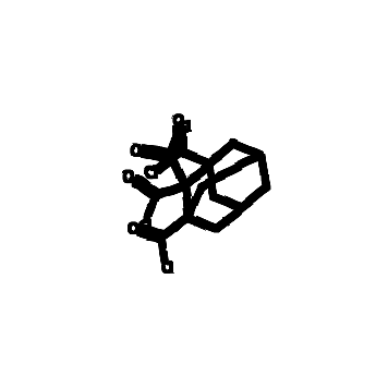 O=C(Cl)C12CC3CC(C1)CC(C(=O)Cl)(C3)C2(C(=O)Cl)C(=O)Cl